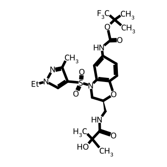 CCn1cc(S(=O)(=O)N2C[C@H](CNC(=O)C(C)(C)O)Oc3ccc(NC(=O)OC(C)(C)C(F)(F)F)cc32)c(C)n1